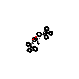 C=CC[C@]1(O[C@@]2(CC=C)CCC[C@H](COC(c3ccccc3)(c3ccccc3)c3ccccc3)C2)CCC[C@H](COC(c2ccccc2)(c2ccccc2)c2ccccc2)C1